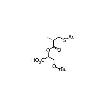 CC(=O)SC[C@@H](C)C(=O)O[C@@H](COC(C)(C)C)C(=O)O